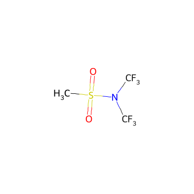 CS(=O)(=O)N(C(F)(F)F)C(F)(F)F